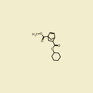 COC(=O)C12C=CC(C1)C(C(=O)OC1CCCCC1)C2